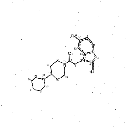 O=C(Cn1c(=O)sc2ccc(Cl)cc21)N1CCC(N2CCCCC2)CC1